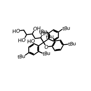 CC(C)(C)c1ccc(OC(c2ccc(C(C)(C)C)cc2C(C)(C)C)(c2ccc(C(C)(C)C)cc2C(C)(C)C)C(O)C(O)C(O)C(O)CO)c(C(C)(C)C)c1